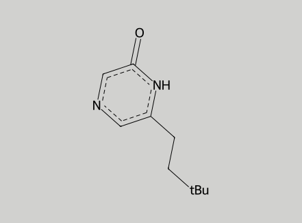 CC(C)(C)CCc1cncc(=O)[nH]1